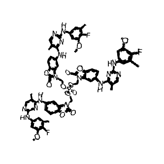 COc1cc(Nc2ncc(C)c(Nc3ccc4oc(=O)n(COP(=O)(OCn5c(=O)oc6ccc(Nc7nc(Nc8cc(C)c(F)c(OC)c8)ncc7C)cc65)OCn5c(=O)oc6ccc(Nc7nc(Nc8cc(C)c(F)c(OC)c8)ncc7C)cc65)c4c3)n2)cc(C)c1F